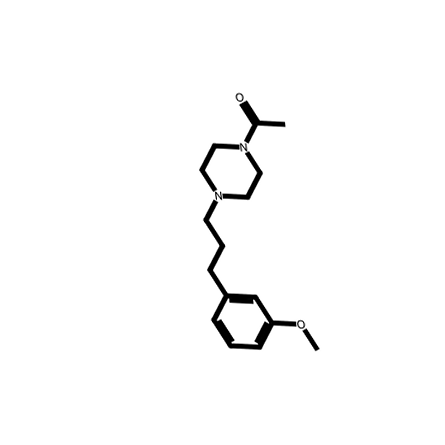 COc1cccc(CCCN2CCN(C(C)=O)CC2)c1